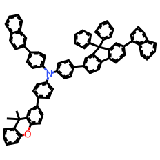 CC1(C)c2ccccc2Oc2ccc(-c3ccc(N(c4ccc(-c5ccc6c(c5)C(c5ccccc5)(c5ccccc5)c5cc(-c7cccc8ccccc78)ccc5-6)cc4)c4ccc(-c5ccc6ccccc6c5)cc4)cc3)cc21